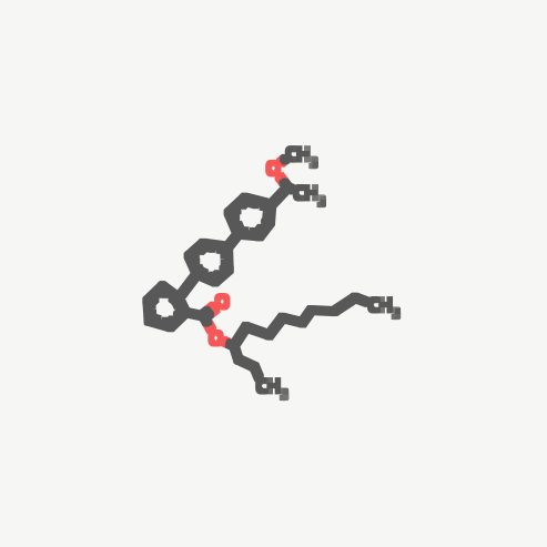 CCCCCCCCC(CCC)OC(=O)c1ccccc1-c1ccc(-c2ccc(C(C)OC)cc2)cc1